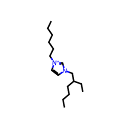 CCCCCC[n+]1ccn(CC(CC)CCCC)c1